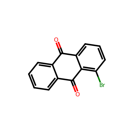 O=C1c2ccccc2C(=O)c2c(Br)cccc21